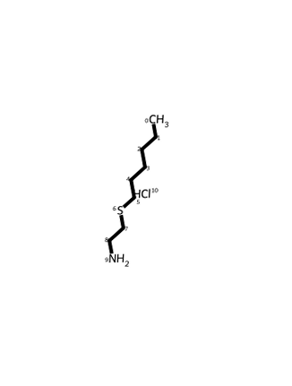 CCCCCCSCCN.Cl